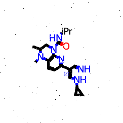 CC(C)NC(=O)N1CC(C)N(C)c2ccc(/C(C=N)=C/NC3CC3)nc21